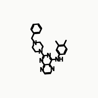 Cc1ccc(Nc2nc(N3CCN(Cc4ccccc4)CC3)nc3nccnc23)cc1C